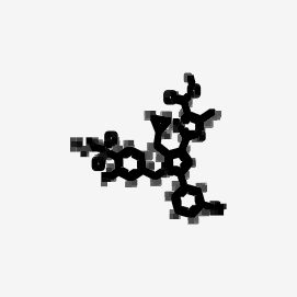 COC(=O)c1nc(-c2cc(-c3cccc(Br)c3)n(Cc3ccc(S(N)(=O)=O)c(F)c3)c2CC2CC2)sc1C